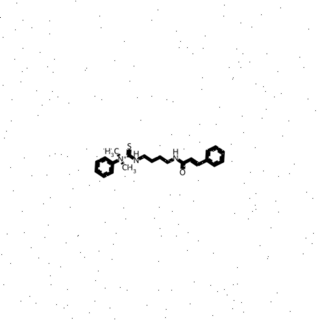 C[N+](C)(C(=S)NCCCCNC(=O)C=Cc1ccccc1)c1ccccc1